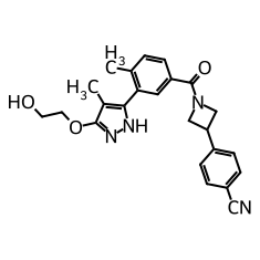 Cc1ccc(C(=O)N2CC(c3ccc(C#N)cc3)C2)cc1-c1[nH]nc(OCCO)c1C